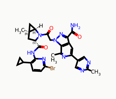 Cc1ncc(-c2cc3c(C(N)=O)nn(CC(=O)N4[C@H](C(=O)Nc5nc(Br)ccc5C5CC5)C[C@@]5(C)C[C@@H]45)c3c(C)n2)cn1